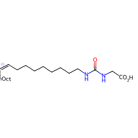 CCCCCCCC/C=C\CCCCCCCCNC(=O)NCC(=O)O